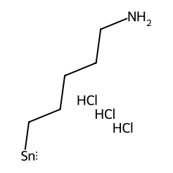 Cl.Cl.Cl.NCCCC[CH2][Sn]